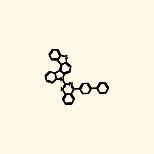 C1=CCCC(C2=CC=C(c3nc(N4c5ccc6sc7ccccc7c6c5C5C=CC=CC54)nc4ccccc34)CC2)=C1